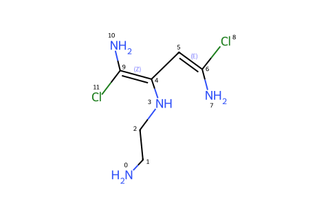 NCCNC(/C=C(\N)Cl)=C(/N)Cl